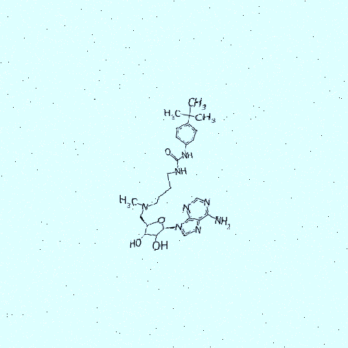 CN(CCCCNC(=O)Nc1ccc(C(C)(C)C)cc1)C[C@H]1O[C@@H](n2cnc3c(N)ncnc32)C(O)C1O